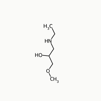 CCNCC(O)COC